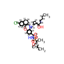 C=CC[C@H](OC)[C@H](C)S(=O)(=O)NC(=O)c1ccc2c(c1)N(C[C@@H]1CC[C@H]1[C@@H](O)/C=C/CCC)C[C@@]1(CCCc3cc(Cl)ccc31)CO2